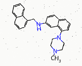 CN1CCN(c2cccc3ccc(NCc4cccc5ccccc45)cc23)CC1